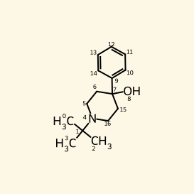 CC(C)(C)N1CCC(O)(c2ccccc2)CC1